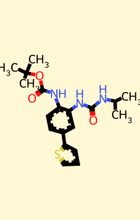 CC(C)NC(=O)Nc1cc(-c2cccs2)ccc1NC(=O)OC(C)(C)C